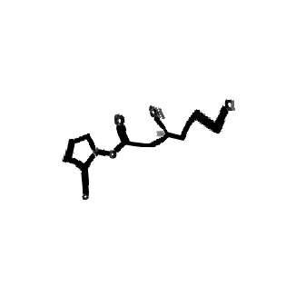 O=C(C[C@@H](O)CCCCl)ON1CCCC1=O